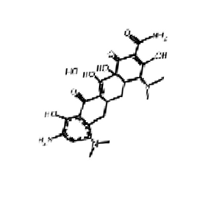 CN(C)c1cc(N)c(O)c2c1CC1CC3C(N(C)C)C(O)=C(C(N)=O)C(=O)C3(O)C(O)=C1C2=O.Cl